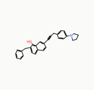 Oc1c(Cc2ccccc2)ccc2ccc(C#CCc3ccc(N4CCCC4)cc3)cc12